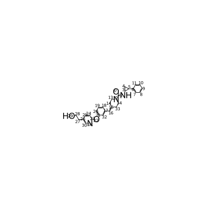 O=C(NC1C[C@H]1c1ccccc1)N1CCC(=Cc2cccc(Oc3ccc(CCO)cn3)c2)CC1